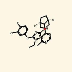 CCn1nc(NC2[C@@H]3CC[C@H]2CN(c2cc(C)ncn2)C3)nc1Oc1ccc(F)c(Cl)c1